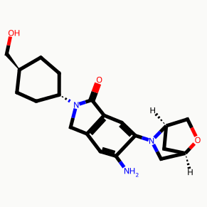 Nc1cc2c(cc1N1C[C@H]3C[C@@H]1CO3)C(=O)N([C@H]1CC[C@H](CO)CC1)C2